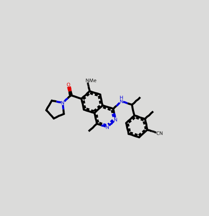 CNc1cc2c(NC(C)c3cccc(C#N)c3C)nnc(C)c2cc1C(=O)N1CCCC1